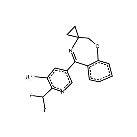 Cc1cc(C2=NC3(CC3)COc3ccccc32)cnc1C(F)F